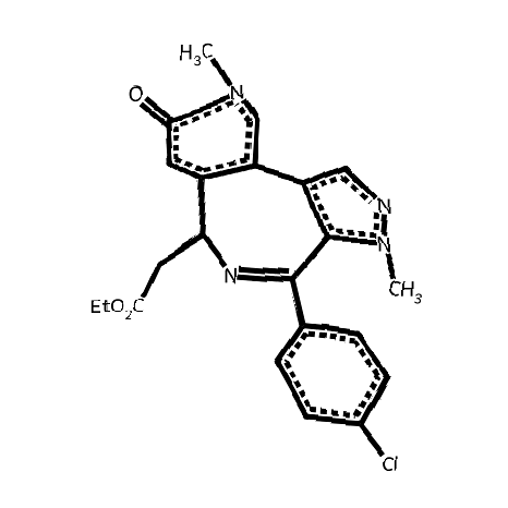 CCOC(=O)CC1N=C(c2ccc(Cl)cc2)c2c(cnn2C)-c2cn(C)c(=O)cc21